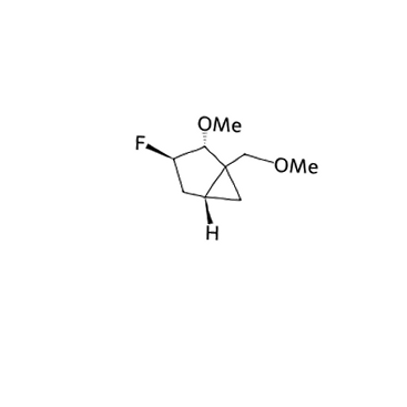 COCC12C[C@@H]1C[C@@H](F)[C@@H]2OC